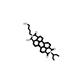 CCC(CC)N1C(=O)c2ccc3c4ccc5c6c(ccc(c7ccc(c2c37)C1=O)c64)C(O)N(CCCCO)C5=O